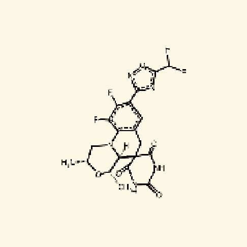 C[C@@H]1CN2c3c(cc(-c4noc(C(F)F)n4)c(F)c3F)CC3(C(=O)NC(=O)NC3=O)[C@H]2[C@H](C)O1